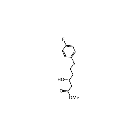 COC(=O)CC(O)CCSc1ccc(F)cc1